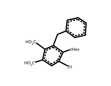 CCCCCCc1c(CC)cc(C(=O)O)c(C(=O)O)c1Cc1ccccc1